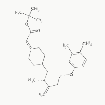 C=C(CCOc1ccc(C)c(C)c1)C(C)CC1CCC(=CC(=O)OC(C)(C)C)CC1